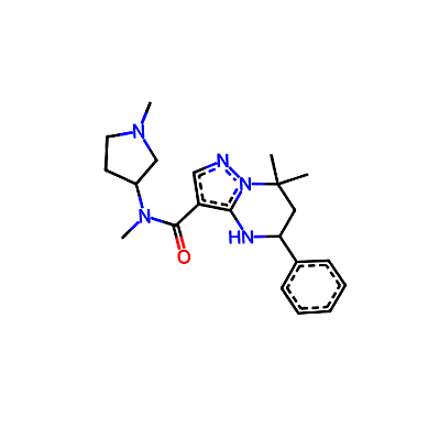 CN1CCC(N(C)C(=O)c2cnn3c2NC(c2ccccc2)CC3(C)C)C1